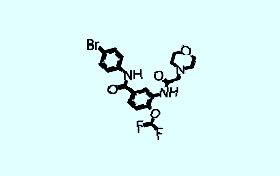 O=C(CN1CCOCC1)Nc1cc(C(=O)Nc2ccc(Br)cc2)ccc1OC(F)F